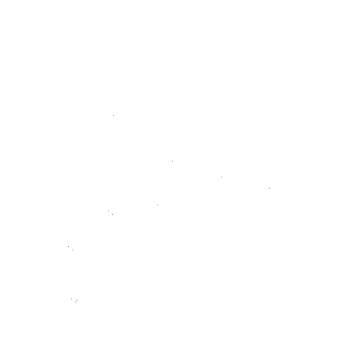 Cc1ccccc1N1CCc2c(nc(OC3(C4CCCN4C)CC3)nc2N2CCNC(CC#N)C2)C1